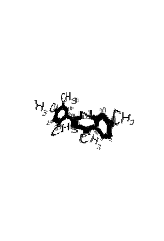 Cc1ccc2c(C)cc(-c3cc(C)c(C)cc3C)nc2c1